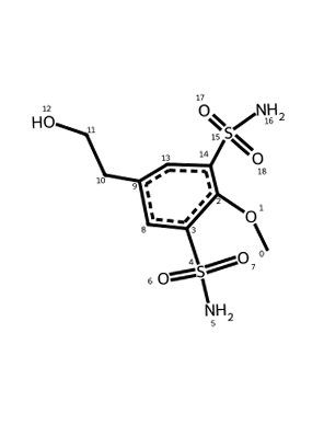 COc1c(S(N)(=O)=O)cc(CCO)cc1S(N)(=O)=O